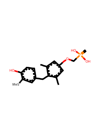 C=P(O)(O)COc1cc(C)c(Cc2ccc(O)c(SC)c2)c(C)c1